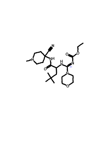 CCOC(=O)/N=C(\NC(CC(C)(C)C)C(=O)NC1(C#N)CCN(C)CC1)N1CCOCC1